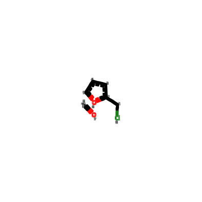 ClCc1ccco1.[O]=[Ti]